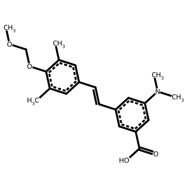 COCOc1c(C)cc(C=Cc2cc(C(=O)O)cc(N(C)C)c2)cc1C